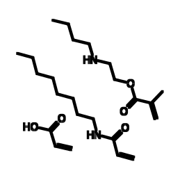 C=C(C)C(=O)OCCNCCCC.C=CC(=O)NCCCCCCCC.C=CC(=O)O